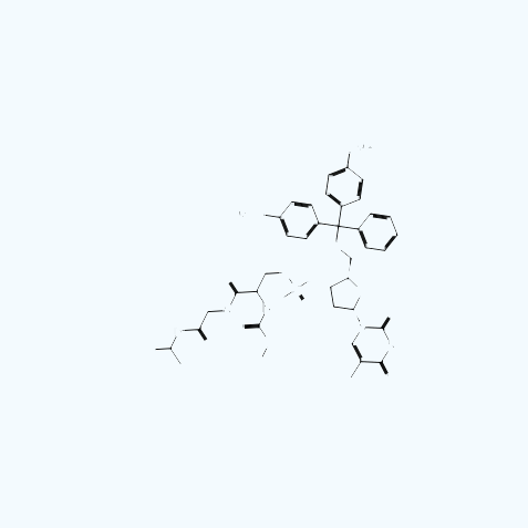 COc1ccc(C(OC[C@H]2O[C@@H](n3cc(C)c(=O)[nH]c3=O)C[C@@H]2OP(=O)(S)OCC(NC(=O)OC(C)(C)C)C(=O)NCC(=O)NC(C)C(=O)O)(c2ccccc2)c2ccc(OC)cc2)cc1